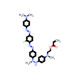 C=CC(=O)OCCN(C)c1ccc(NN(C)c2ccc(/N=N/c3ccc(/N=N/c4ccc(N(C)C)cc4)cc3F)cc2)cc1